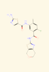 Cc1cc(F)c(C(=O)Nc2nc3c(s2)COCC3)cc1NC(=O)c1cnc(N)s1